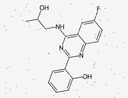 CC(O)CNc1nc(-c2ccccc2O)nc2ccc(F)cc12